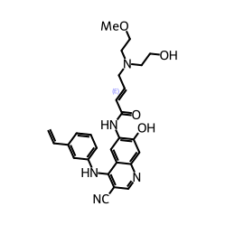 C=Cc1cccc(Nc2c(C#N)cnc3cc(O)c(NC(=O)/C=C/CN(CCO)CCOC)cc23)c1